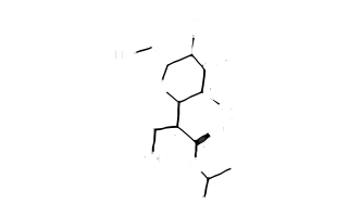 CC(C)OC(=O)C(CO)C1O[C@H](CO)[C@@H](O)[C@H](O)[C@H]1O